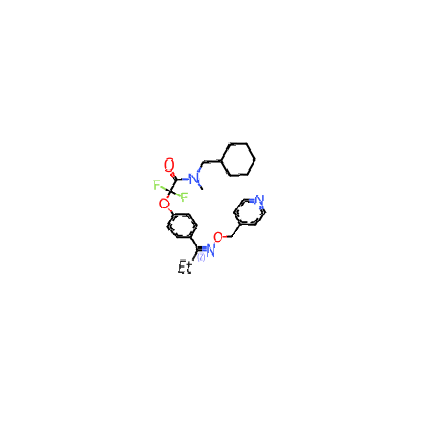 CC/C(=N/OCc1ccncc1)c1ccc(OC(F)(F)C(=O)N(C)CC2CCCCC2)cc1